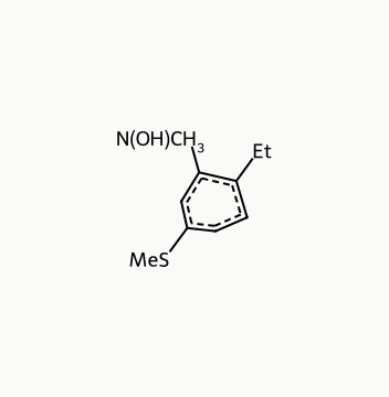 CCc1ccc(SC)cc1N(C)O